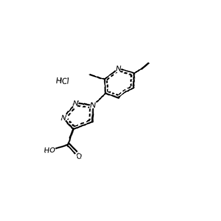 Cc1ccc(-n2cc(C(=O)O)nn2)c(C)n1.Cl